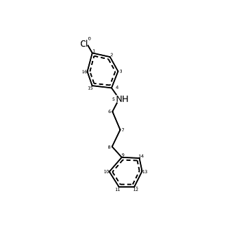 Clc1ccc(NCCCc2cc[c]cc2)cc1